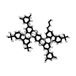 CCCCc1cc2c3c(c1)c1cc(C(C)(C)C)ccc1n3-c1cc(-c3cc(C)cc(C)c3)cc3c1B2c1cc2c(cc1O3)B1c3c(cc(-c4cc(C)cc(C)c4)cc3-n3c4ccc(C(C)(C)C)cc4c4cc(C(C)(C)C)cc1c43)O2